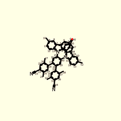 Cc1ccc2c(c1)c1cc(C)ccc1n2-c1cc(-c2cc(C)c(C#N)cc2C)c(-c2cc(C)c(C#N)cc2C)cc1-n1c2ccc(C)cc2c2cc(C)ccc21